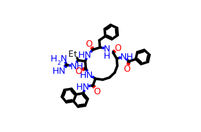 CCC(NC(=N)N)C1NC(=O)C(Cc2ccccc2)NC(=O)C(NC(=O)c2ccccc2)CCCCC(C(=O)Nc2cccc3ccccc23)NC1=O